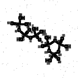 O=P(O)(O)OP(=O)(O)OP(=O)(O)O.O=P1(O)OP(=O)(O)OP(=O)(O)O1